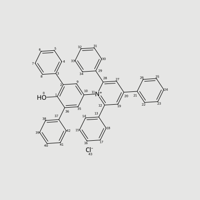 Oc1c(-c2ccccc2)cc(-[n+]2c(-c3ccccc3)cc(-c3ccccc3)cc2-c2ccccc2)cc1-c1ccccc1.[Cl-]